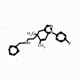 CC1=Cc2c(cnn2-c2ccc(F)cc2)CC1(C)CCNCc1ccccc1